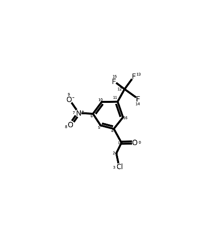 O=C(CCl)c1cc([N+](=O)[O-])cc(C(F)(F)F)c1